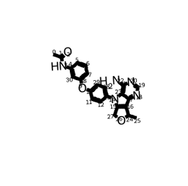 CC(=O)Nc1cccc(Oc2ccc(-n3c4c(c5ncnc(N)c53)C(C)OC4)cc2)c1